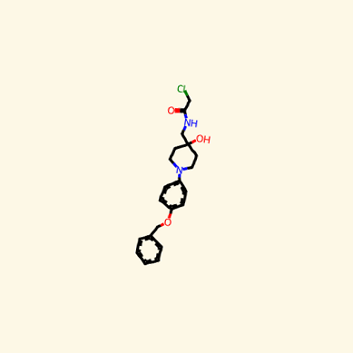 O=C(CCl)NCC1(O)CCN(c2ccc(OCc3ccccc3)cc2)CC1